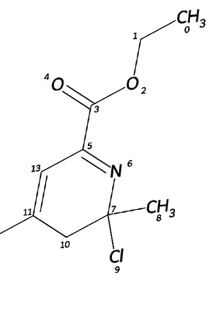 CCOC(=O)C1=NC(C)(Cl)CC(Cl)=C1